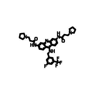 O=C(CCN1CCCC1)Nc1ccc2c(NCc3cc(F)cc(C(F)(F)F)c3)c3ccc(NC(=O)CCN4CCCC4)cc3nc2c1